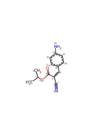 CC(C)OC(=O)C(C#N)=Cc1ccc(N)cc1